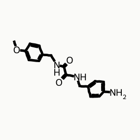 COc1ccc(CNC(=O)C(=O)NCc2ccc(N)cc2)cc1